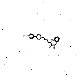 O=C1NCc2ccccc2OC1CCCCN1CCC(c2ccc(O)cc2)CC1